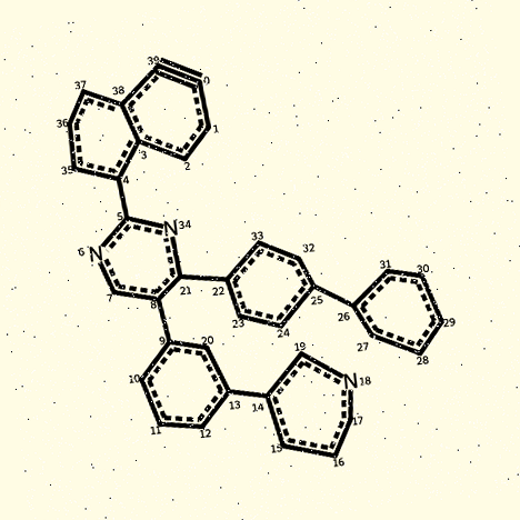 c1ccc2c(-c3ncc(-c4cccc(-c5cccnc5)c4)c(-c4ccc(-c5ccccc5)cc4)n3)cccc2c#1